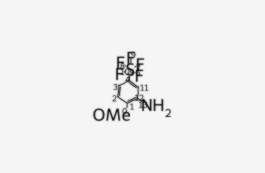 COc1ccc(S(F)(F)(F)(F)F)cc1N